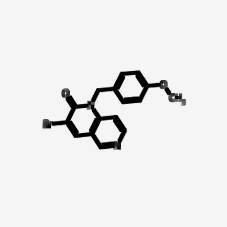 COc1ccc(Cn2c(=O)c(Br)cc3cnccc32)cc1